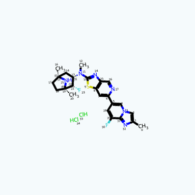 Cc1cn2cc(-c3cc4sc(N(C)[C@H]5C[C@]6(C)CC[C@@](C)(N6)[C@H]5F)nc4cn3)cc(F)c2n1.Cl.Cl